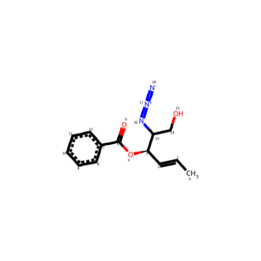 C/C=C/[C@@H](OC(=O)c1ccccc1)C(CO)N=[N+]=[N-]